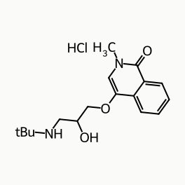 Cl.Cn1cc(OCC(O)CNC(C)(C)C)c2ccccc2c1=O